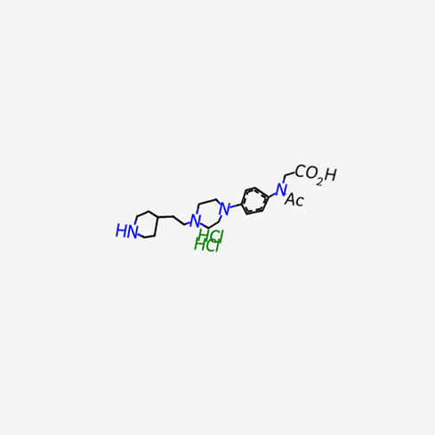 CC(=O)N(CC(=O)O)c1ccc(N2CCN(CCC3CCNCC3)CC2)cc1.Cl.Cl